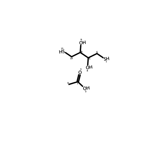 CC(=O)O.OC(CS)C(O)CS